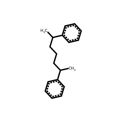 C[C](CCC[C](C)c1ccccc1)c1ccccc1